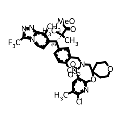 COC(=O)C(C)(C)[C@H](c1ccc(C)c(CN2CC3(CCOCC3)Oc3nc(Cl)c(C)cc3S2(=O)=O)c1)c1ccn2c(C(F)(F)F)nnc2c1C